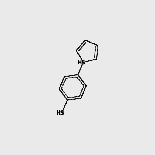 Sc1ccc([SH]2C=CC=C2)cc1